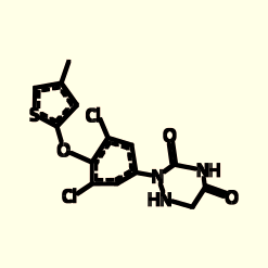 Cc1csc(Oc2c(Cl)cc(N3NCC(=O)NC3=O)cc2Cl)c1